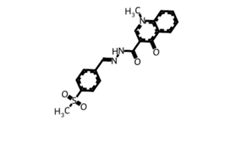 Cn1cc(C(=O)NN=Cc2ccc(S(C)(=O)=O)cc2)c(=O)c2ccccc21